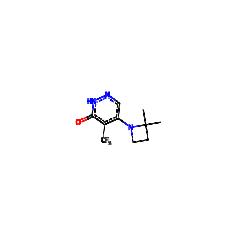 CC1(C)CCN1c1cn[nH]c(=O)c1C(F)(F)F